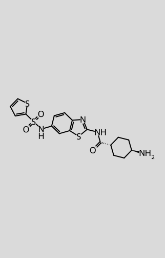 N[C@H]1CC[C@H](C(=O)Nc2nc3ccc(NS(=O)(=O)c4cccs4)cc3s2)CC1